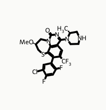 CO[C@H]1CSc2c(-c3cc(Cl)c(F)cc3F)c(C(F)(F)F)cc3c(N4CCNC[C@@H]4C)nc(=O)n(c23)C1